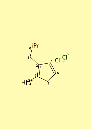 CC(C)CC1=[C]([Hf+2])CC=C1.[Cl-].[Cl-]